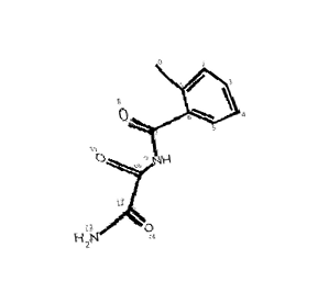 Cc1ccccc1C(=O)NC(=O)C(N)=O